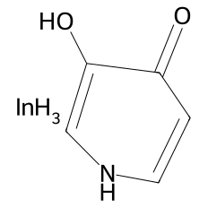 O=c1cc[nH]cc1O.[InH3]